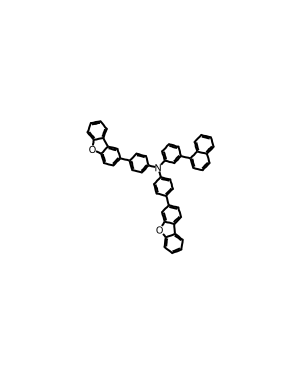 c1cc(-c2cccc3ccccc23)cc(N(c2ccc(-c3ccc4c(c3)oc3ccccc34)cc2)c2ccc(-c3ccc4oc5ccccc5c4c3)cc2)c1